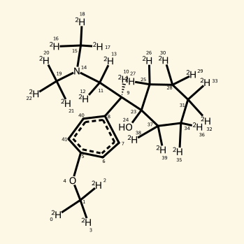 [2H]C([2H])([2H])Oc1ccc([C@@]([2H])(C([2H])([2H])N(C([2H])([2H])[2H])C([2H])([2H])[2H])C2(O)C([2H])([2H])C([2H])([2H])C([2H])([2H])C([2H])([2H])C2([2H])[2H])cc1